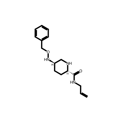 C=CCNC(=O)[C@@H]1CC[C@@H](NOCc2ccccc2)CN1